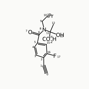 [C]#Cc1ccc(C(=O)N(CC(C)C)C(C)(O)C(=O)O)cc1F